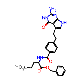 Nc1nc2[nH]cc(CCc3ccc(C(=O)NC(CCC(=O)O)C(=O)OCc4ccccc4)cc3)c2c(=O)[nH]1